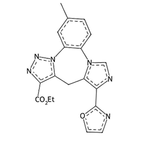 CCOC(=O)c1nnn2c1Cc1c(-c3ncco3)ncn1-c1ccc(C)cc1-2